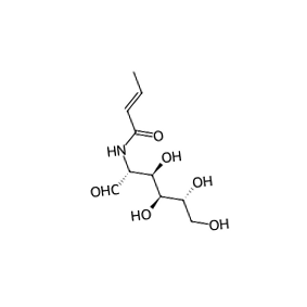 CC=CC(=O)N[C@@H](C=O)[C@@H](O)[C@H](O)[C@H](O)CO